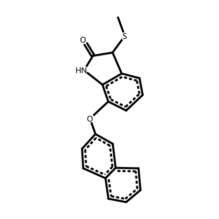 CSC1C(=O)Nc2c(Oc3ccc4ccccc4c3)cccc21